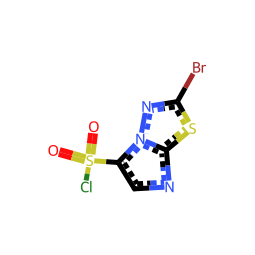 O=S(=O)(Cl)c1cnc2sc(Br)nn12